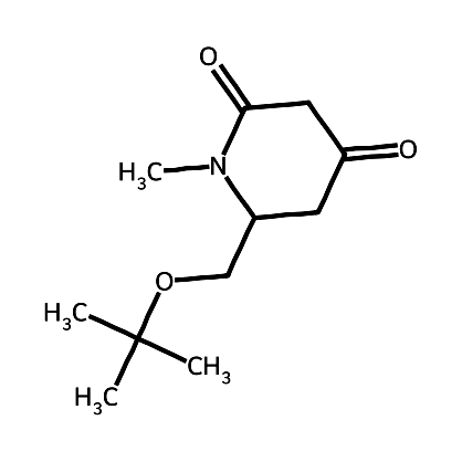 CN1C(=O)CC(=O)CC1COC(C)(C)C